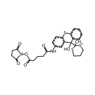 CC1(C2(O)c3ccccc3Sc3ccc(NC(=O)CCCC(=O)ON4C(=O)CCC4=O)cc32)SCCCS1